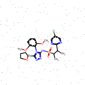 COc1cccc(OC)c1-n1c(NS(=O)(=O)C(C)C(C)c2ncc(Cl)cn2)nnc1[C@@H]1CCCO1